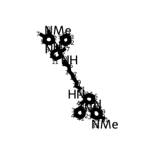 CNc1cc2c(cc1C)N=C1C=CC(NCCCCCCCCNc3ccc4nc5cc(C)c(NC)cc5[n+](-c5ccccc5)c4c3C)=C(C)C1N2c1ccccc1